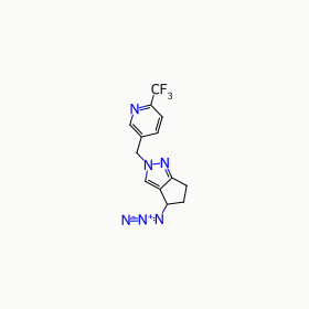 [N-]=[N+]=NC1CCc2nn(Cc3ccc(C(F)(F)F)nc3)cc21